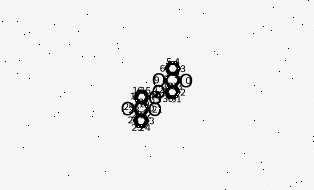 O=C1c2ccccc2C(=O)c2c(OOc3cccc4c3C(=O)c3ccccc3C4=O)cccc21